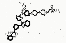 CS(=O)(=O)CCN1CCN(C2CCN(c3ccc(Nc4nccc(-c5c(-c6cccc(C(=O)Nc7c(F)cccc7F)c6)nc6ccccn56)n4)c(OCC(F)(F)F)c3)CC2)CC1